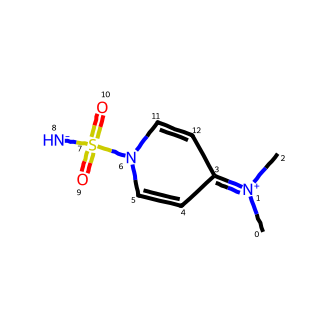 C[N+](C)=c1ccn(S([NH-])(=O)=O)cc1